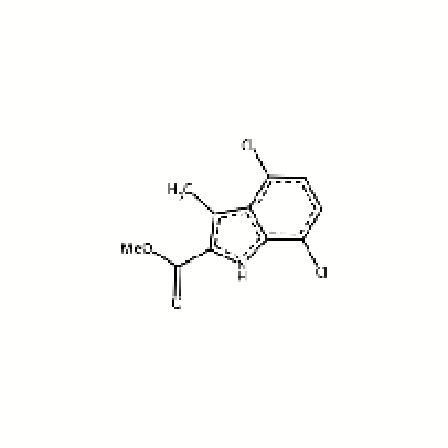 COC(=O)c1[nH]c2c(Cl)ccc(Cl)c2c1C